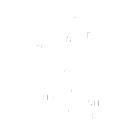 C[C@H](COc1cc(Br)cn(C(F)F)c1=O)OC(=O)NC(C)(C)C